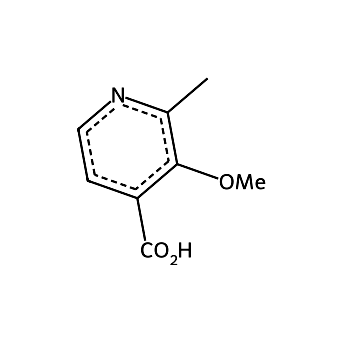 COc1c(C(=O)O)ccnc1C